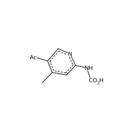 CC(=O)c1cnc(NC(=O)O)cc1C